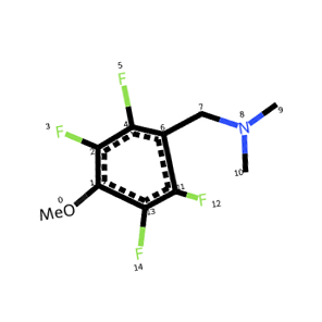 COc1c(F)c(F)c(CN(C)C)c(F)c1F